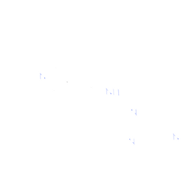 N#Cc1nccc(NC2CC3(CNC3)C2)n1